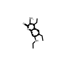 CCNc1cc2oc(=O)c(N)c(CC)c2cc1CC